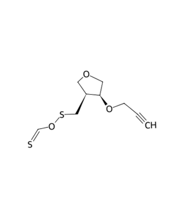 C#CCO[C@@H]1COC[C@@H]1CSOC=S